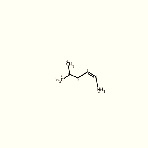 CC(C)C/C=C\N